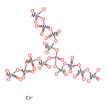 O=P([O][Mo](=[O])(=[O])[O][Mo](=[O])(=[O])[O][Mo](=[O])(=[O])[O][Mo](=[O])(=[O])[O-])([O][Mo](=[O])(=[O])[O][Mo](=[O])(=[O])[O][Mo](=[O])(=[O])[O][Mo](=[O])(=[O])[O-])[O][Mo](=[O])(=[O])[O][Mo](=[O])(=[O])[O][Mo](=[O])(=[O])[O][Mo](=[O])(=[O])[O-].[Cs+]